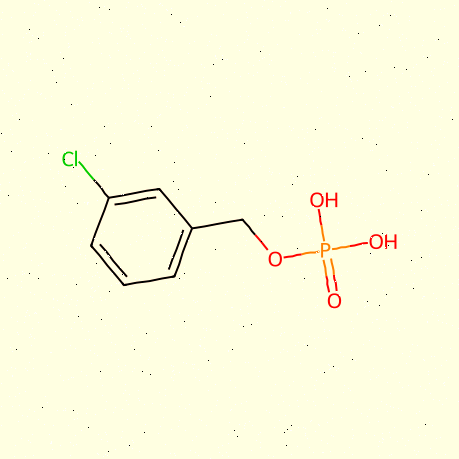 O=P(O)(O)OCc1cccc(Cl)c1